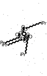 CC(C)CCCCCCCCCOC(=O)OC1CC(OC(=O)OCCCCCCCCCC(C)C)C(OC(=O)OCCCCCCCCCC(C)C)CC1OC(=O)OCCCCCCCCCC(C)C